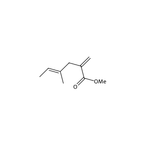 C=C(C/C(C)=C/C)C(=O)OC